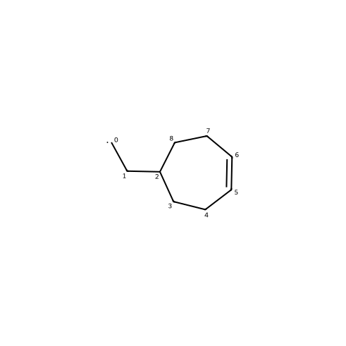 [CH2]CC1CCC=CCC1